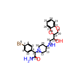 NC(=O)C(c1ccc(Br)cc1)N1CCC(NCC(O)C2COc3ccccc3O2)CC1